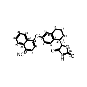 N#Cc1ccc(Oc2ccc3c(c2)CCC[C@H]3C2OC(=O)NC2=O)c2ccccc12